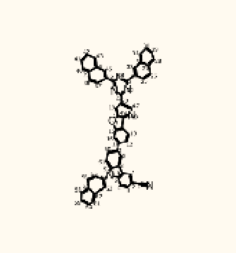 N#Cc1ccc2c(c1)c1cc(-c3ccc4c(c3)oc3cc(-c5nc(-c6ccc7ccccc7c6)nc(-c6ccc7ccccc7c6)n5)cnc34)ccc1n2-c1ccc2ccccc2c1